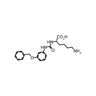 NCCCC[C@@H](NC(=O)Nc1cccc(OCc2ccccc2)c1)C(=O)O